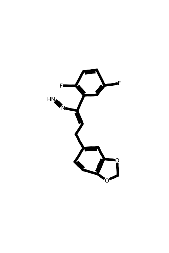 N=N/C(=C\Cc1ccc2c(c1)OCO2)c1cc(F)ccc1F